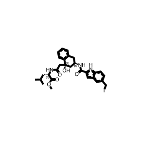 COC(=O)[C@H](CC(C)C)NC(=O)C[C@@]1(O)C[C@H](NC(=O)c2cc3cc(CI)ccc3[nH]2)Cc2ccccc21